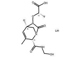 CC1=C[C@@H]2CN(C(=O)N2O[C@@H](F)C(=O)O)[C@@H]1C(=O)NCO.[LiH]